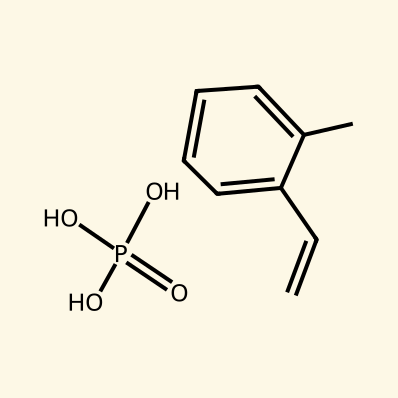 C=Cc1ccccc1C.O=P(O)(O)O